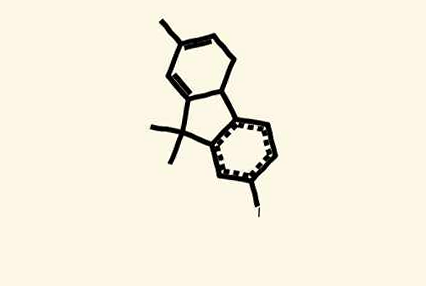 CC1=CCC2C(=C1)C(C)(C)c1cc(I)ccc12